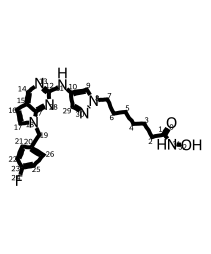 O=C(CCCCCCn1cc(Nc2ncc3ccn(Cc4ccc(F)cc4)c3n2)cn1)NO